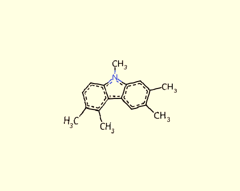 Cc1cc2c3c(C)c(C)ccc3n(C)c2cc1C